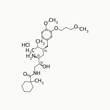 COCCCOc1cc(C[C@@H](C[C@H](N)[C@@H](O)CNC(=O)C2(C)CCCCC2)C(C)C)ccc1OC.Cl